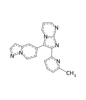 Cc1cccc(-c2nc3ncccn3c2-c2ccn3nccc3c2)n1